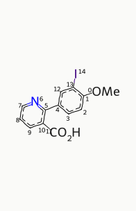 COc1ccc(-c2ncccc2C(=O)O)cc1I